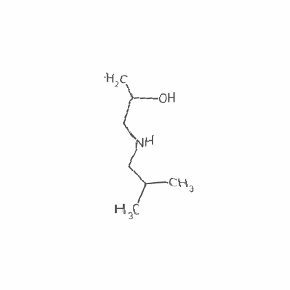 [CH2]C(O)CNCC(C)C